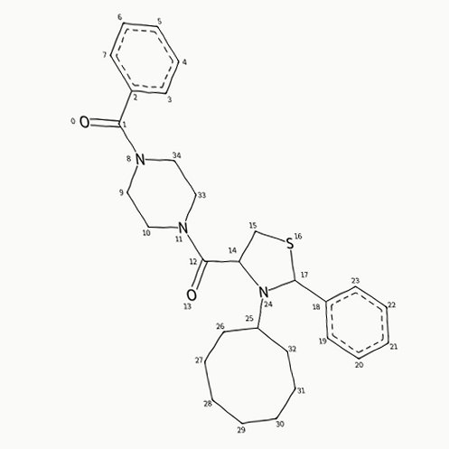 O=C(c1ccccc1)N1CCN(C(=O)C2CSC(c3ccccc3)N2C2CCCCCCC2)CC1